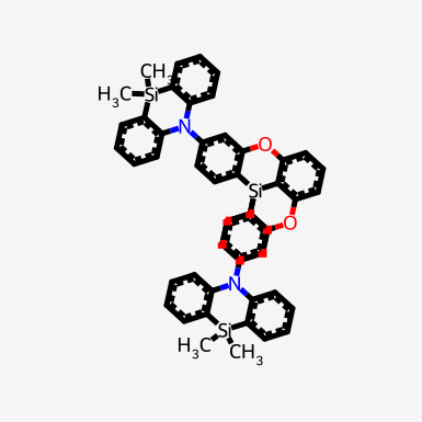 C[Si]1(C)c2ccccc2N(c2ccc3c(c2)Oc2cccc4c2[Si]3(c2ccccc2)c2ccc(N3c5ccccc5[Si](C)(C)c5ccccc53)cc2O4)c2ccccc21